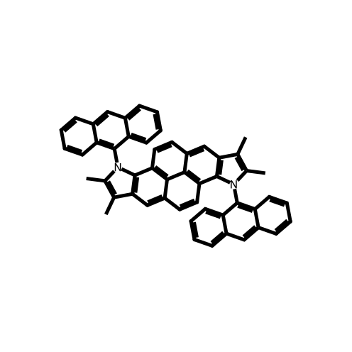 Cc1c(C)n(-c2c3ccccc3cc3ccccc23)c2c1cc1ccc3c4c(ccc2c14)cc1c(C)c(C)n(-c2c4ccccc4cc4ccccc24)c13